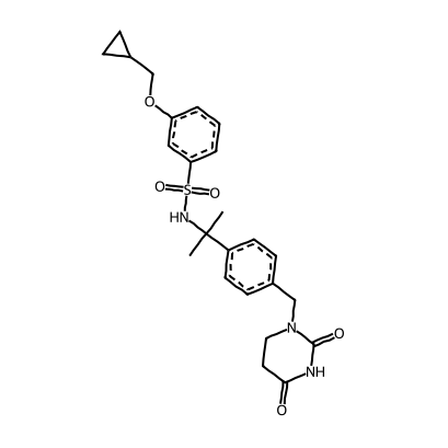 CC(C)(NS(=O)(=O)c1cccc(OCC2CC2)c1)c1ccc(CN2CCC(=O)NC2=O)cc1